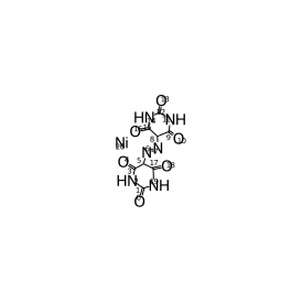 O=C1NC(=O)C(N=NC2C(=O)NC(=O)NC2=O)C(=O)N1.[Ni]